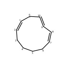 [CH]1/C=C\CCCC/C=C\C=C\1